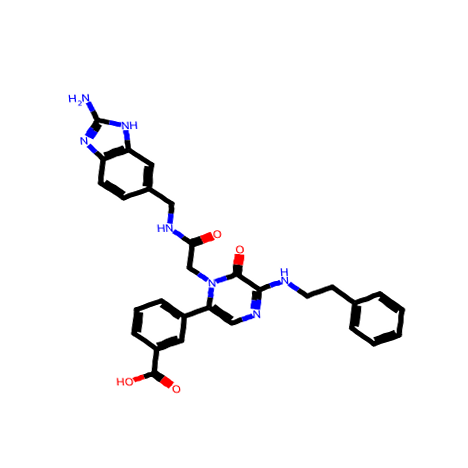 Nc1nc2ccc(CNC(=O)Cn3c(-c4cccc(C(=O)O)c4)cnc(NCCc4ccccc4)c3=O)cc2[nH]1